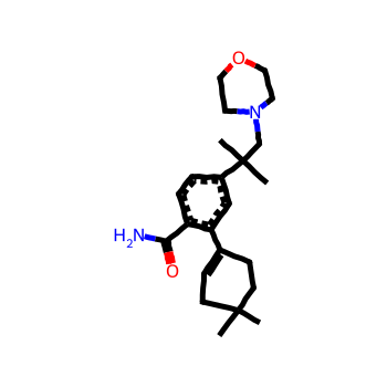 CC1(C)CC=C(c2cc(C(C)(C)CN3CCOCC3)ccc2C(N)=O)CC1